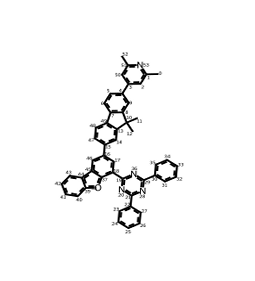 Cc1cc(-c2ccc3c(c2)C(C)(C)c2cc(-c4cc(-c5nc(-c6ccccc6)nc(-c6ccccc6)n5)c5oc6ccccc6c5c4)ccc2-3)cc(C)n1